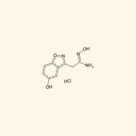 Cl.NC(Cc1noc2ccc(O)cc12)=NO